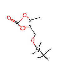 Cc1oc(=O)oc1CO[Si](C)(C)C(C)(C)C